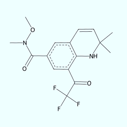 CON(C)C(=O)c1cc2c(c(C(=O)C(F)(F)F)c1)NC(C)(C)C=C2